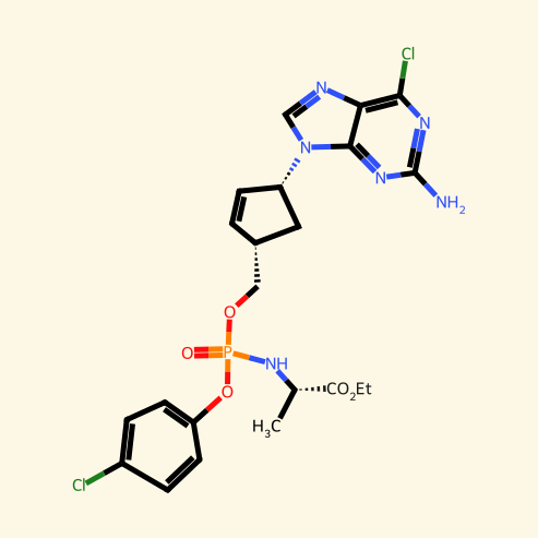 CCOC(=O)[C@H](C)NP(=O)(OC[C@@H]1C=C[C@H](n2cnc3c(Cl)nc(N)nc32)C1)Oc1ccc(Cl)cc1